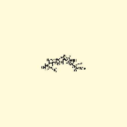 CCCC(=O)N(C)[C@H](SCCN(C)C)C(=O)N(C)[C@@H](CC(C)C)C(=O)N[C@H](C(=O)N(C)[C@@H](CC(C)C)C(=O)N[C@@H](C)C(=O)N[C@H](C)C(=O)N(C)[C@@H](CC(C)C)C(=O)NC)C(C)C